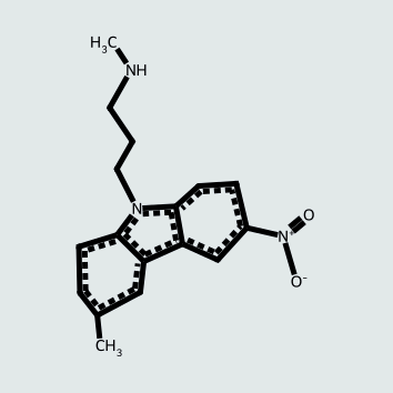 CNCCCn1c2ccc(C)cc2c2cc([N+](=O)[O-])ccc21